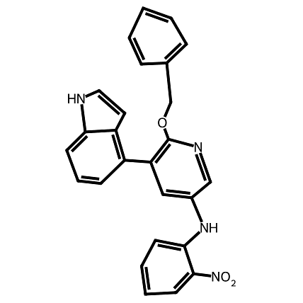 O=[N+]([O-])c1ccccc1Nc1cnc(OCc2ccccc2)c(-c2cccc3[nH]ccc23)c1